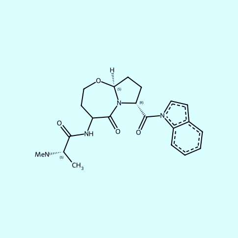 CN[C@@H](C)C(=O)NC1CCO[C@H]2CC[C@H](C(=O)n3ccc4ccccc43)N2C1=O